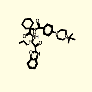 CCC[C@H](NC(=O)C1(NC(=O)c2ccc(N3CCN(C(C)(C)C)CC3)cc2)CCCCC1)C(=O)c1nc2ccccc2o1